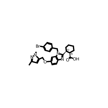 Cc1cc(COc2ccc3nc([C@H]4CCCC[C@H]4C(=O)O)n(Cc4ccc(Br)cc4)c3c2)n(C)n1